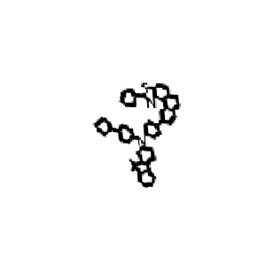 CC1(C)c2ccccc2-c2ccc(N(c3ccc(-c4ccccc4)cc3)c3ccc(-c4ccc5ccc6ccc7sc(-c8ccccc8)nc7c6c5c4)cc3)cc21